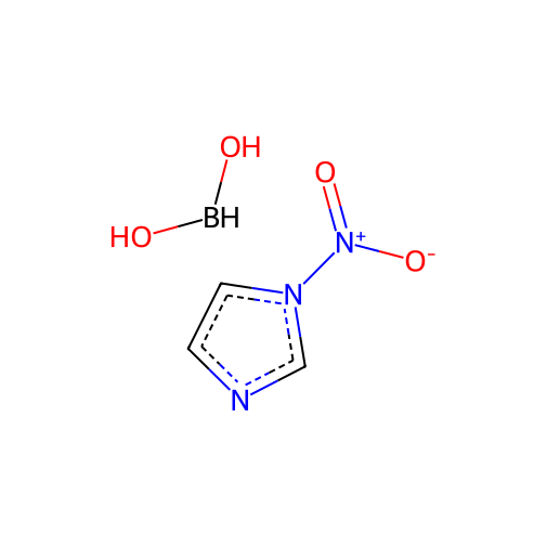 O=[N+]([O-])n1ccnc1.OBO